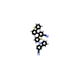 N#Cc1ccc2c(c1)c1ccccc1n2-c1cccc2c1sc1c(C#N)ccc(-c3cccc4sc5ccccc5c34)c12